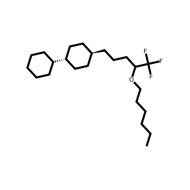 CCCCCCOC(CCC[C@H]1CC[C@H](C2CCCCC2)CC1)C(F)(F)F